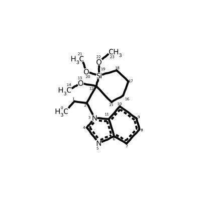 CCC(n1cnc2ccccc21)C1(OC)CCCC[Si]1(OC)OC